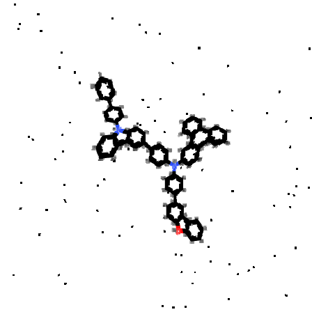 c1ccc(-c2ccc(-n3c4ccccc4c4cc(-c5ccc(N(c6ccc(-c7ccc8oc9ccccc9c8c7)cc6)c6ccc7c8ccccc8c8ccccc8c7c6)cc5)ccc43)cc2)cc1